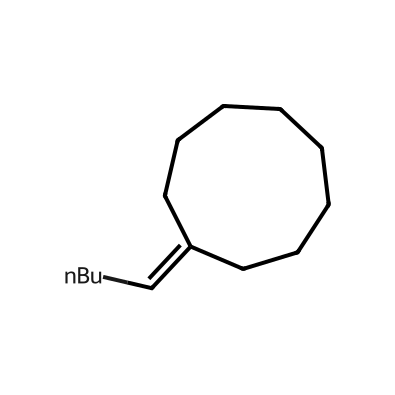 CCCCC=C1CCCCCCCC1